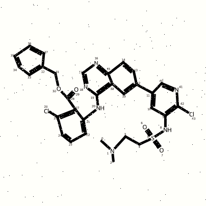 CN(C)CCS(=O)(=O)Nc1cc(-c2ccc3ncnc(Nc4cccc(Cl)c4C(=O)OCc4ccccc4)c3c2)cnc1Cl